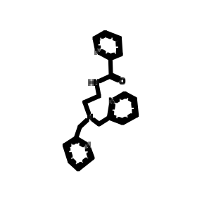 O=C(NCCN(Cc1ccccn1)Cc1ccccn1)c1ccccn1